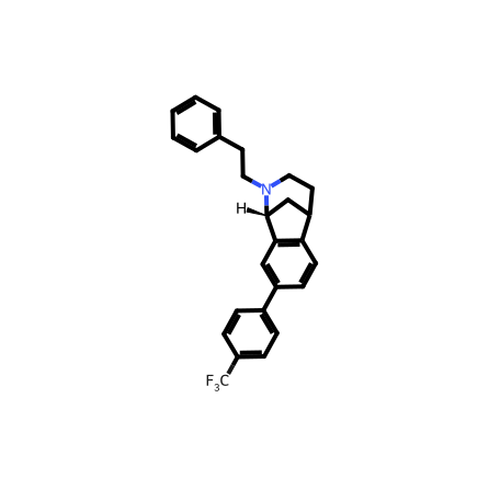 FC(F)(F)c1ccc(-c2ccc3c(c2)[C@H]2CC3CCN2CCc2ccccc2)cc1